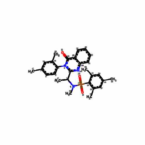 Cc1ccc(-n2c(C(C)N(C)S(=O)(=O)c3c(C)cc(C)cc3C)nc3ccccc3c2=O)c(C)c1